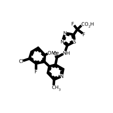 COc1ccc(Cl)c(F)c1-c1cc(C)ncc1C(=O)Nc1nnc(C(F)(F)C(=O)O)s1